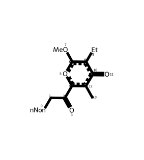 CCCCCCCCCCC(=O)c1oc(OC)c(CC)c(=O)c1C